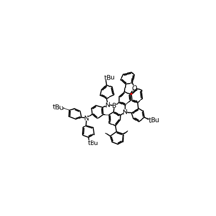 Cc1cccc(C)c1-c1cc2c3c(c1)N(c1ccc(C(C)(C)C)cc1-c1ccccc1)c1cc4oc5ccccc5c4cc1B3N(c1ccc(C(C)(C)C)cc1)c1ccc(N(c3ccc(C(C)(C)C)cc3)c3ccc(C(C)(C)C)cc3)cc1-2